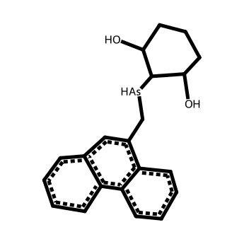 OC1CCCC(O)C1[AsH]Cc1cc2ccccc2c2ccccc12